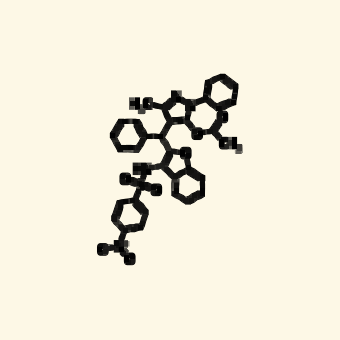 CC(=O)Oc1c(C(c2ccccc2)c2oc3ccccc3c2NS(=O)(=O)c2ccc([N+](=O)[O-])cc2)c(C)nn1-c1ccccc1